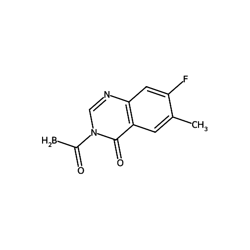 BC(=O)n1cnc2cc(F)c(C)cc2c1=O